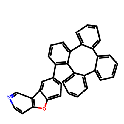 c1ccc2c(c1)-c1ccccc1-c1cccc(-c3ccc4oc5ccncc5c4c3)c1-c1ccccc1-2